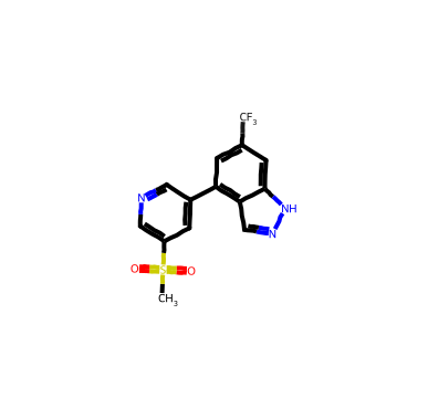 CS(=O)(=O)c1cncc(-c2cc(C(F)(F)F)cc3[nH]ncc23)c1